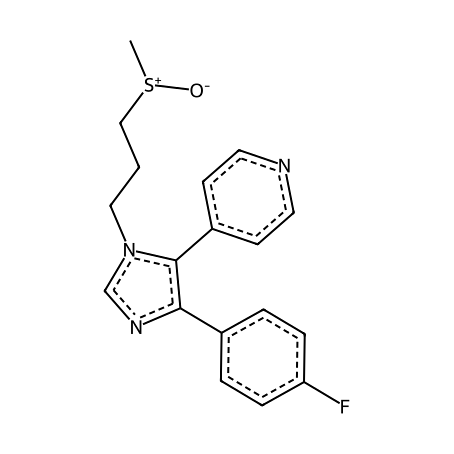 C[S+]([O-])CCCn1cnc(-c2ccc(F)cc2)c1-c1ccncc1